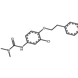 CN(C)C(=O)Nc1ccc(OCCc2ccccc2)c(Cl)c1